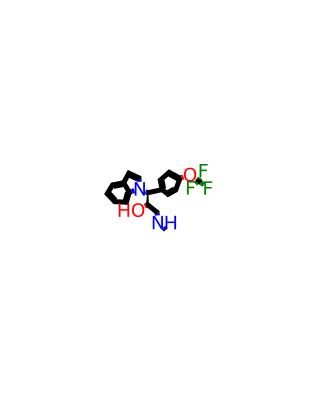 CNCC(O)[C@H](c1ccc(OC(F)(F)F)cc1)n1ccc2ccccc21